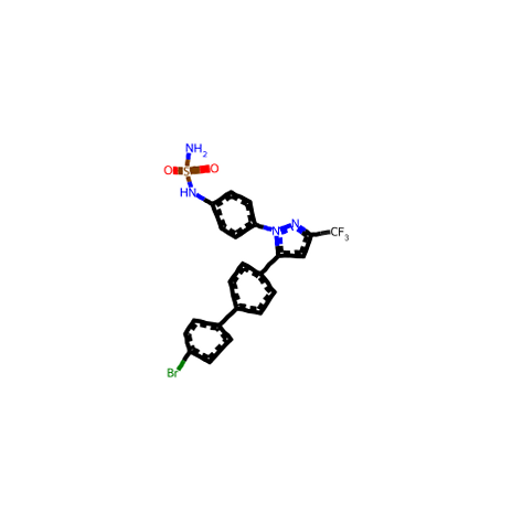 NS(=O)(=O)Nc1ccc(-n2nc(C(F)(F)F)cc2-c2ccc(-c3ccc(Br)cc3)cc2)cc1